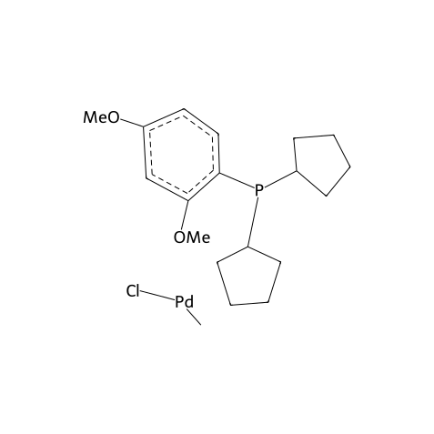 COc1ccc(P(C2CCCC2)C2CCCC2)c(OC)c1.[CH3][Pd][Cl]